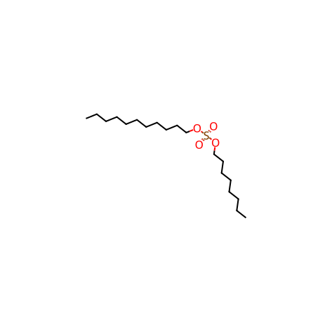 CCCCCCCCCCCOS(=O)(=O)OCCCCCCCC